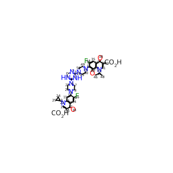 C/N=C(\NC(=N)N1CCN(c2cc3c(cc2F)c(=O)c(C(=O)O)cn3C2CC2)CC1)N1CCN(c2c(F)cc3c(=O)c(C(=O)O)cn4c3c2OCC4C)CC1